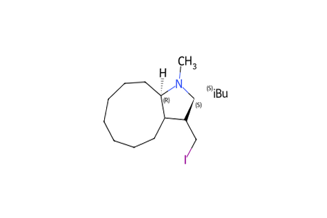 CC[C@H](C)[C@H]1C(CI)C2CCCCCCC[C@H]2N1C